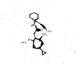 Cc1cc(C2CC2)cc(C)c1CC(=O)NC1(C#CC(=O)O)CCCCC1